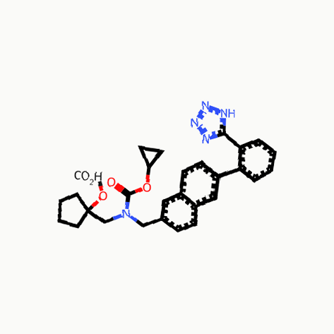 O=C(O)OC1(CN(Cc2ccc3cc(-c4ccccc4-c4nnn[nH]4)ccc3c2)C(=O)OC2CC2)CCCC1